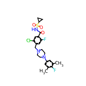 Cc1cc(N2CCN(Cc3cc(F)c(C(=O)NS(=O)(=O)C4CC4)cc3Cl)CC2)cc(C)c1F